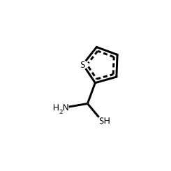 NC(S)c1cccs1